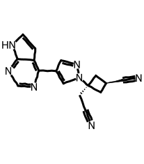 N#CC[C@]1(n2cc(-c3ncnc4[nH]ccc34)cn2)C[C@@H](C#N)C1